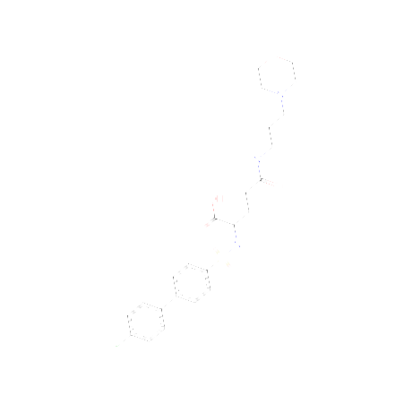 O=C(CCC(NS(=O)(=O)c1ccc(-c2ccc(Cl)cc2)cc1)C(=O)O)NCCCN1CCOCC1